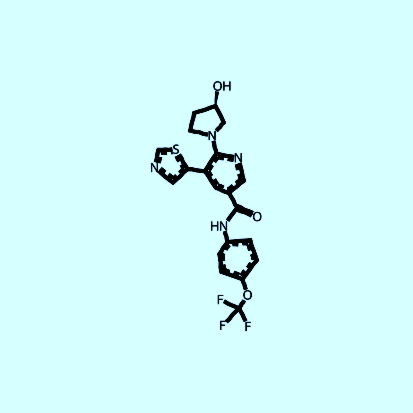 O=C(Nc1ccc(OC(F)(F)F)cc1)c1cnc(N2CC[C@@H](O)C2)c(-c2cncs2)c1